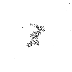 CON=C(C(=O)NC1C(=O)N2CC(CSc3nncs3)(C(=O)O)CS[C@H]12)C1=CSCCO1